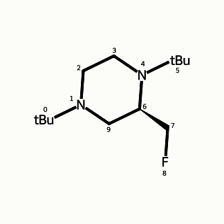 CC(C)(C)N1CCN(C(C)(C)C)[C@@H](CF)C1